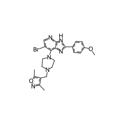 COc1ccc(-c2nc3c(N4CCN(Cc5c(C)noc5C)CC4)c(Br)cnc3[nH]2)cc1